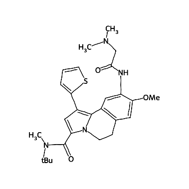 COc1cc2c(cc1NC(=O)CN(C)C)-c1c(-c3cccs3)cc(C(=O)N(C)C(C)(C)C)n1CC2